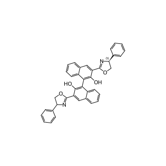 Oc1c(C2=NC(c3ccccc3)CO2)cc2ccccc2c1-c1c(O)c(C2=N[C@@H](c3ccccc3)CO2)cc2ccccc12